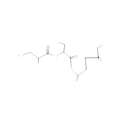 CCOC(=O)C(CCC(=O)C=N)NC(=O)C(CC(C)C)NC(=O)C(N)CC(C)C